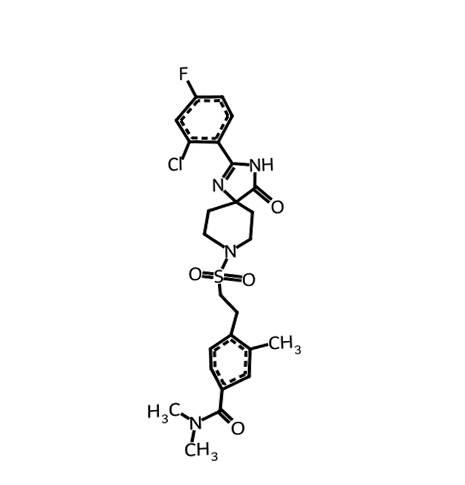 Cc1cc(C(=O)N(C)C)ccc1CCS(=O)(=O)N1CCC2(CC1)N=C(c1ccc(F)cc1Cl)NC2=O